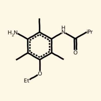 CCOc1c(C)c(N)c(C)c(NC(=O)C(C)C)c1C